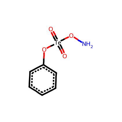 NO[Te](=O)(=O)Oc1ccccc1